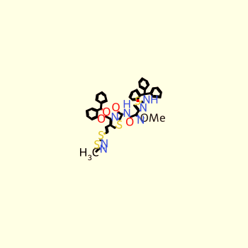 CO/N=C(/C(=O)NC1C(=O)N2C(C(=O)OC(c3ccccc3)c3ccccc3)=C(/C=C/Sc3nnc(C)s3)CSC12)c1csc(NC(c2ccccc2)(c2ccccc2)c2ccccc2)n1